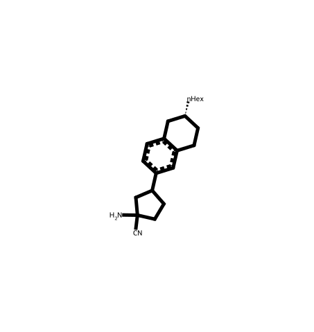 CCCCCC[C@@H]1CCc2cc(C3CCC(N)(C#N)C3)ccc2C1